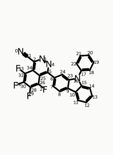 N#Cc1nnc(-c2ccc3c4ccccc4n(-c4ccccc4)c3c2)c2c(F)c(F)c(F)c(F)c12